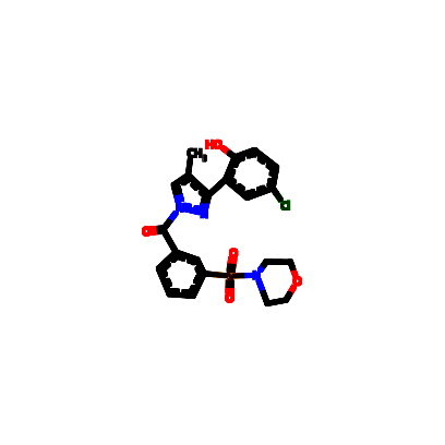 Cc1cn(C(=O)c2cccc(S(=O)(=O)N3CCOCC3)c2)nc1-c1cc(Cl)ccc1O